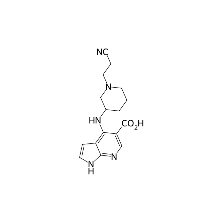 N#CCCN1CCCC(Nc2c(C(=O)O)cnc3[nH]ccc23)C1